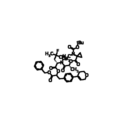 C[C@@H](OC(=O)C1(N(C)C(=O)OC(C)(C)C)CC1)C(=O)N(C)[C@@H](CC(C)(C)F)C(=O)OC(Cc1ccc(C2=CCOCC2)cc1)C(=O)OCc1ccccc1